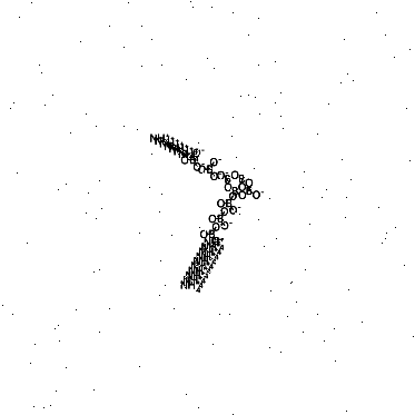 [NH4+].[NH4+].[NH4+].[NH4+].[NH4+].[NH4+].[NH4+].[NH4+].[NH4+].[NH4+].[NH4+].[NH4+].[NH4+].[NH4+].[NH4+].[NH4+].[NH4+].[O-]B([O-])[O-].[O-]B([O-])[O-].[O-]B([O-])[O-].[O-]B([O-])[O-].[O-]B([O-])[O-].[O-]B1OB2OB([O-])OB(O1)O2